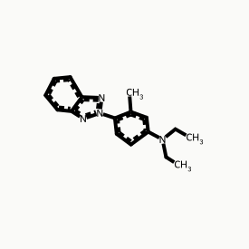 CCN(CC)c1ccc(-n2nc3ccccc3n2)c(C)c1